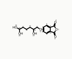 O=C1OC(=O)c2ccccc21.OCC(O)CCCC(O)O